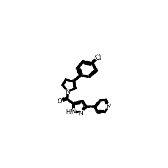 O=C(c1cc(-c2ccncc2)n[nH]1)N1CCC(c2ccc(Cl)cc2)C1